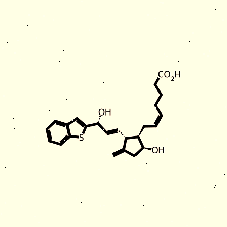 C=C1C[C@H](O)[C@H](C/C=C\CCCC(=O)O)[C@H]1/C=C/[C@@H](O)c1cc2ccccc2s1